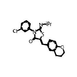 CC(C)/N=C1\S/C(=C\c2ccc3c(c2)CCCO3)C(=O)N1c1cccc(Cl)c1